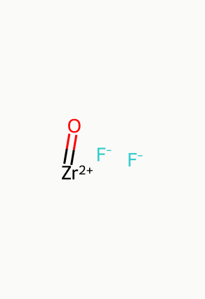 [F-].[F-].[O]=[Zr+2]